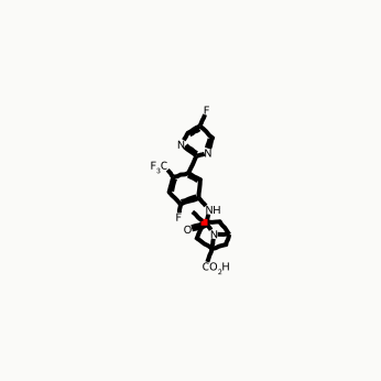 CC1CC2CC(C(=O)O)(C1)N2C(=O)Nc1cc(-c2ncc(F)cn2)c(C(F)(F)F)cc1F